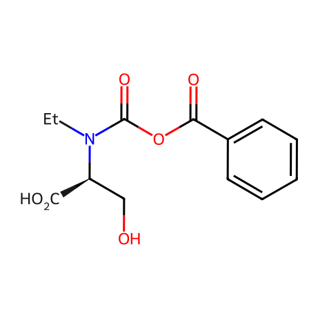 CCN(C(=O)OC(=O)c1ccccc1)[C@@H](CO)C(=O)O